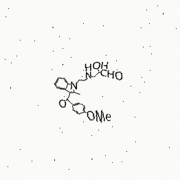 COc1ccc(C(=O)c2c(C)n(CCNCC(O)C=O)c3ccccc23)cc1